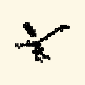 COC(=O)CCOCCOCCOCCOCCOCCC(=O)NC(COCCC(=O)NCCCN)(COCCC(=O)NCCCN)COCCC(=O)NCCCN.O=C(O)C(F)(F)F.O=C(O)C(F)(F)F.O=C(O)C(F)(F)F